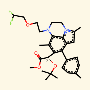 COC(=O)[C@@H](OC(C)(C)C)c1c(C)c2c3c(cc(C)n3CCN2CCOCC(F)F)c1-c1ccc(C)cc1